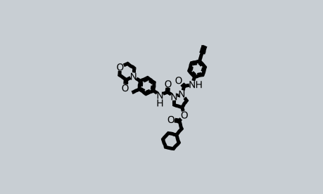 C#Cc1ccc(NC(=O)N2CC(OC(=O)CC3CCCCC3)CN2C(=O)Nc2ccc(N3CCOCC3=O)c(C)c2)cc1